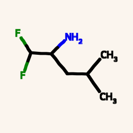 CC(C)CC(N)C(F)F